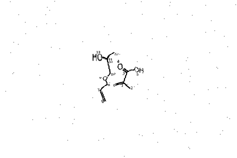 C=C(C)C(=O)O.C=CCOCC(C)O